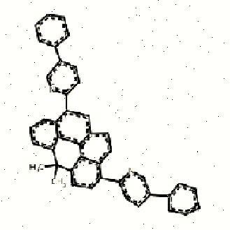 CC1(C)c2ccc(-c3ccc(-c4ccccc4)cn3)c3ccc4cc(-c5ccc(-c6ccccc6)cn5)c5cccc1c5c4c23